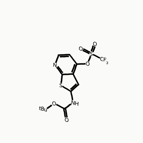 CC(C)(C)OC(=O)Nc1cc2c(OS(=O)(=O)C(F)(F)F)ccnc2s1